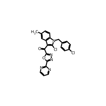 Cc1ccc2c(c1)c(C(=O)c1nnc(-c3ncccn3)o1)c(Cl)n2Cc1ccc(Cl)cc1